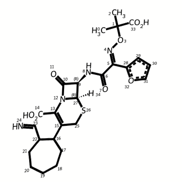 CC(C)(ON=C(C(=O)N[C@@H]1C(=O)N2C(C(=O)O)=C(C3CCCCCC3C=N)CS[C@H]12)c1ccco1)C(=O)O